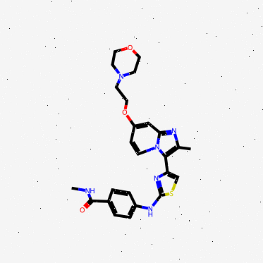 CNC(=O)c1ccc(Nc2nc(-c3c(C)nc4cc(OCCN5CCOCC5)ccn34)cs2)cc1